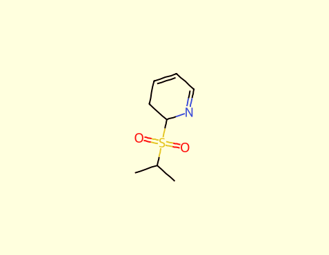 CC(C)S(=O)(=O)C1CC=CC=N1